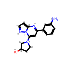 Nc1cccc(-c2cc(N3CCC(O)C3)n3nccc3n2)c1